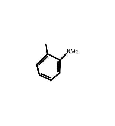 CNc1c[c]ccc1C